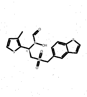 Cc1ccsc1[C@H](CS(=O)(=O)Cc1ccc2sccc2c1)N(O)C=O